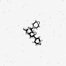 Cc1nc(N2CCOCC2)c2oc(-c3ccncc3)cc2n1